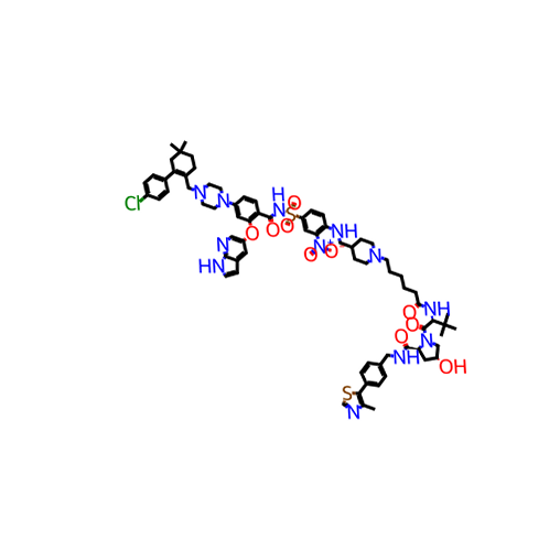 Cc1ncsc1-c1ccc(CNC(=O)[C@@H]2C[C@@H](O)CN2C(=O)[C@@H](NC(=O)CCCCCN2CCC(CNc3ccc(S(=O)(=O)NC(=O)c4ccc(N5CCN(CC6=C(c7ccc(Cl)cc7)CC(C)(C)CC6)CC5)cc4Oc4cnc5[nH]ccc5c4)cc3[N+](=O)[O-])CC2)C(C)(C)C)cc1